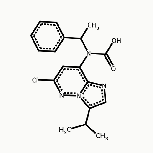 CC(C)c1cnc2c(N(C(=O)O)C(C)c3ccccc3)cc(Cl)nn12